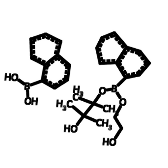 CC(C)(O)C(C)(C)OB(OCCO)c1cccc2ccccc12.OB(O)c1cccc2ccccc12